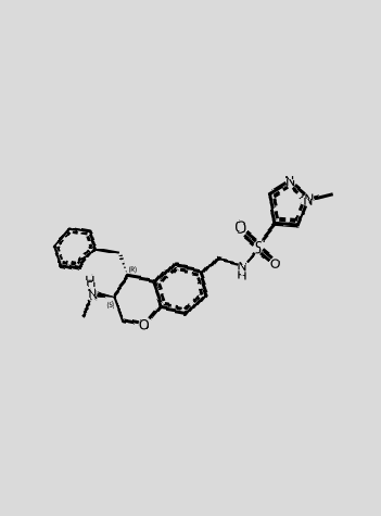 CN[C@@H]1COc2ccc(CNS(=O)(=O)c3cnn(C)c3)cc2[C@H]1Cc1ccccc1